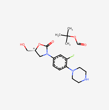 CC(C)(C)OC=O.O=C1O[C@@H](CO)CN1c1ccc(N2CCNCC2)c(F)c1